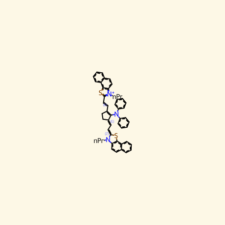 CCCN1/C(=C/C=C2\CCC(/C=C/c3sc4c5ccccc5ccc4[n+]3CCC)=C2N(c2ccccc2)c2ccccc2)Sc2c1ccc1ccccc21